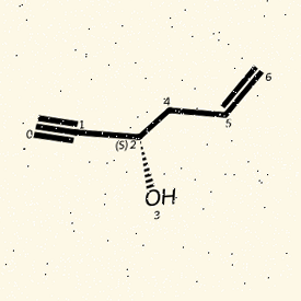 C#C[C@@H](O)CC=C